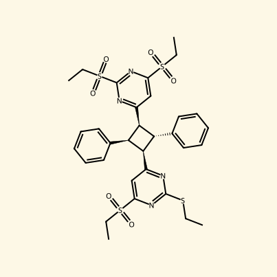 CCSc1nc(S(=O)(=O)CC)cc([C@H]2[C@@H](c3ccccc3)[C@@H](c3cc(S(=O)(=O)CC)nc(S(=O)(=O)CC)n3)[C@@H]2c2ccccc2)n1